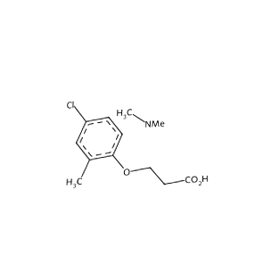 CNC.Cc1cc(Cl)ccc1OCCC(=O)O